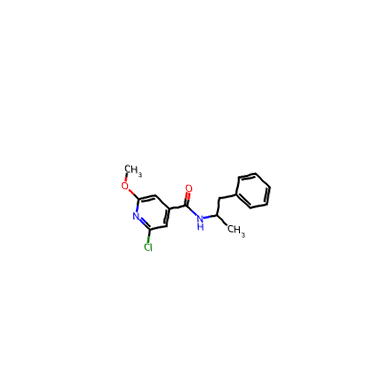 COc1cc(C(=O)NC(C)Cc2ccccc2)cc(Cl)n1